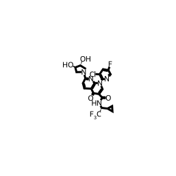 O=C(N[C@H](C1CC1)C(F)(F)F)c1cn(-c2ncc(F)cc2Cl)c2nc(N3C[C@@H](O)[C@H](O)C3)ccc2c1=O